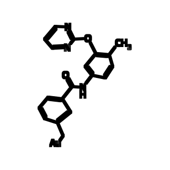 Cc1ccc(NC(=O)c2cccc([CH2][Au])c2)cc1Oc1ncccn1